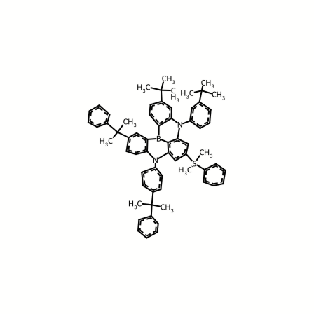 CC(C)(C)c1cccc(N2c3cc(C(C)(C)C)ccc3B3c4cc(C(C)(C)c5ccccc5)ccc4N(c4ccc(C(C)(C)c5ccccc5)cc4)c4cc(S(C)(C)c5ccccc5)cc2c43)c1